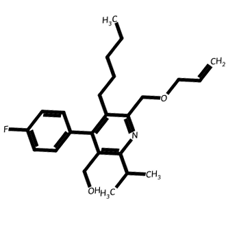 C=CCOCc1nc(C(C)C)c(CO)c(-c2ccc(F)cc2)c1CCCCC